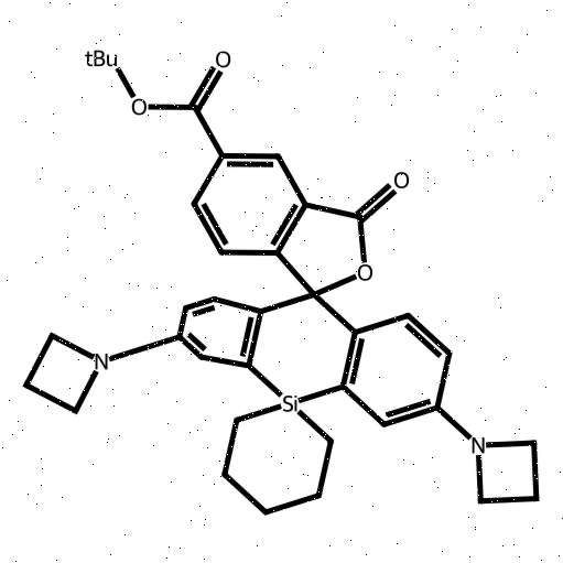 CC(C)(C)OC(=O)c1ccc2c(c1)C(=O)OC21c2ccc(N3CCC3)cc2[Si]2(CCCCC2)c2cc(N3CCC3)ccc21